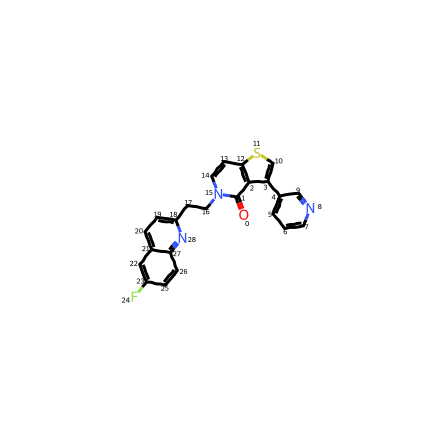 O=c1c2c(-c3cccnc3)csc2ccn1CCc1ccc2cc(F)ccc2n1